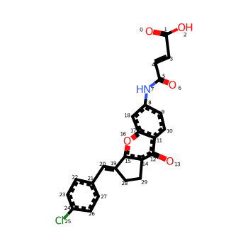 O=C(O)C=CC(=O)Nc1ccc2c(=O)c3c(oc2c1)C(=Cc1ccc(Cl)cc1)CC3